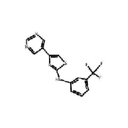 FC(F)(F)c1cccc(Nc2nc(-c3cncnc3)cs2)c1